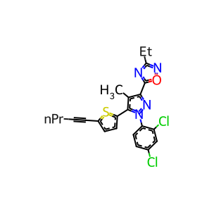 CCCC#Cc1ccc(-c2c(C)c(-c3nc(CC)no3)nn2-c2ccc(Cl)cc2Cl)s1